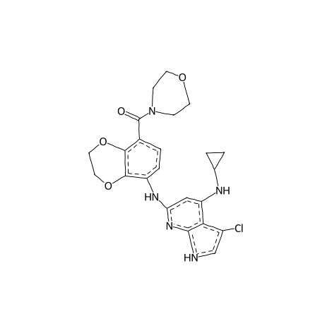 O=C(c1ccc(Nc2cc(NC3CC3)c3c(Cl)c[nH]c3n2)c2c1OCCO2)N1CCOCC1